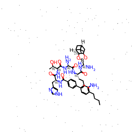 CCCCc1ccc(-c2ccc(C(=O)N[C@@H](Cc3c[nH]cn3)C(=O)N[C@H](C(=O)N[C@@H](N)C(=O)N[C@@H](CCCCN)C(=O)N[C@@H](N)B3OC4C[C@@H]5C[C@@H](C5(C)C)[C@]4(C)O3)[C@@H](C)O)cc2)cc1